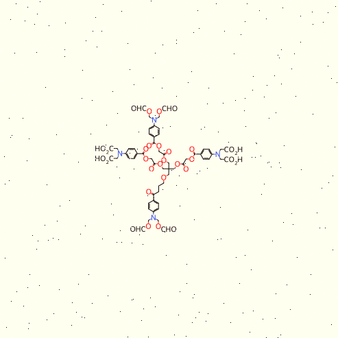 O=COCN(COC=O)c1ccc(C(=O)CCCOCC(COC(=O)COC(=O)c2ccc(N(COC=O)COC=O)cc2)(COC(=O)COC(=O)c2ccc(N(CC(=O)O)CC(=O)O)cc2)COC(=O)COC(=O)c2ccc(N(CC(=O)O)CC(=O)O)cc2)cc1